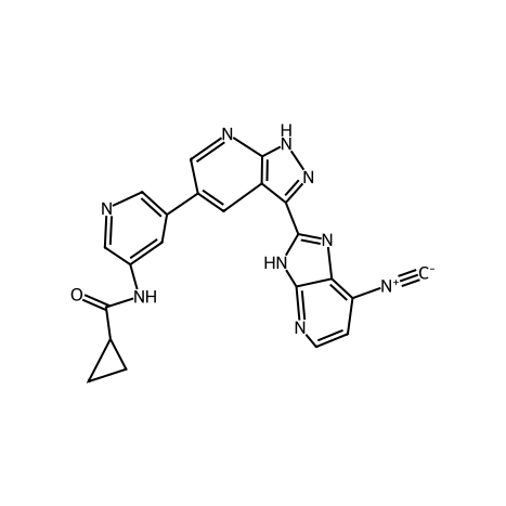 [C-]#[N+]c1ccnc2[nH]c(-c3n[nH]c4ncc(-c5cncc(NC(=O)C6CC6)c5)cc34)nc12